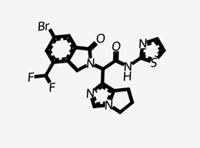 O=C(Nc1nccs1)C(c1ncn2c1CCC2)N1Cc2c(cc(Br)cc2C(F)F)C1=O